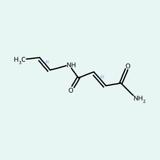 C/C=C/NC(=O)/C=C/C(N)=O